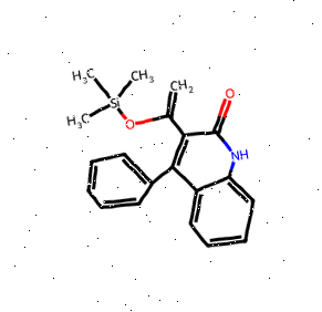 C=C(O[Si](C)(C)C)c1c(-c2ccccc2)c2ccccc2[nH]c1=O